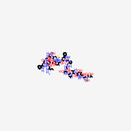 CC[C@H](C)[C@H](N)C(=O)N[C@@H](CC(=O)O)C(=O)N[C@@H](Cc1c[nH]c2ccccc12)C(=O)NCC(=O)N[C@@H](CO)C(=O)N[C@@H](CCSC)C(=O)N[C@@H](CC(=O)O)C(=O)N[C@H](C(=O)N[C@@H](Cc1c[nH]c2ccccc12)C(=O)NCC(=O)N1CCC[C@H]1C(=O)NCC(=O)N[C@H](C(=O)N[C@@H](CC(C)C)C(=O)N[C@H](C(=O)N[C@H](C(=O)N[C@H](C(=O)N[C@@H](CO)C(=O)N[C@@H](CC(C)C)C(=O)O)C(C)C)[C@@H](C)O)C(C)C)[C@@H](C)O)[C@@H](C)CC